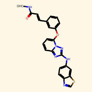 O=CNC(=O)C=Cc1cccc(Oc2cccc3nc(Nc4ccc5ncsc5c4)nn23)c1